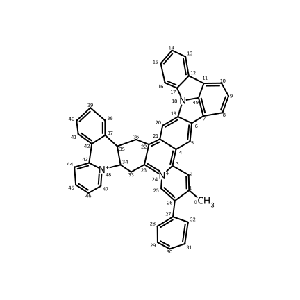 Cc1cc2c3cc4c5cccc6c7ccccc7n(c4cc3c3c([n+]2cc1-c1ccccc1)CC1C(C3)c2ccccc2-c2cccc[n+]21)c65